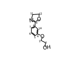 OCCOc1cccc(C2=NCCO2)c1